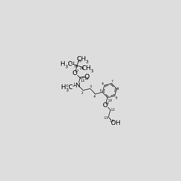 CN(CCCc1ccccc1OCCO)C(=O)OC(C)(C)C